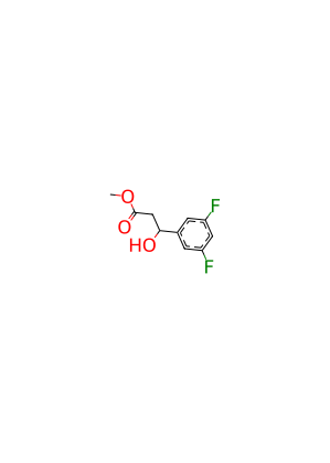 COC(=O)CC(O)c1cc(F)cc(F)c1